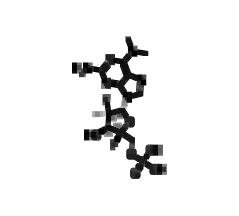 CN(C)c1nc(N)nc2c1ncn2[C@@H]1O[C@](F)(COP(=O)(O)O)[C@@H](O)[C@@]1(C)F